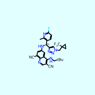 Cc1nc(F)ccc1[C@H](Nc1cc(C#N)c2ncc(C#N)c(NCC(C)(C)C)c2c1)c1cn(CC2(C(F)(F)F)CC2)nn1